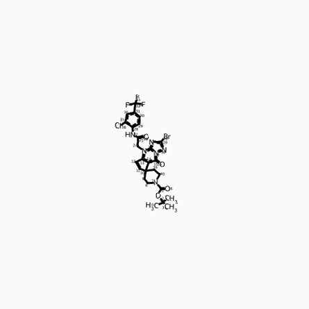 CC(C)(C)OC(=O)N1CCC2(C=Cc3c2c(=O)n2nc(Br)nc2n3CC(=O)Nc2ccc(C(F)(F)F)cc2Cl)CC1